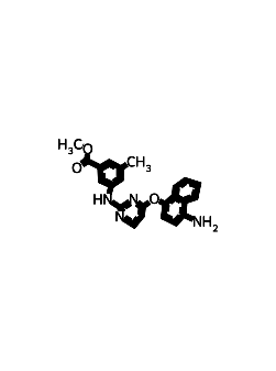 COC(=O)c1cc(C)cc(Nc2nccc(Oc3ccc(N)c4ccccc34)n2)c1